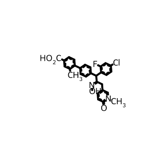 Cc1cc(C(=O)O)ccc1-c1ccc(C(C(Cc2ccc(=O)n(C)c2)=NO)c2ccc(Cl)cc2F)cc1